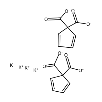 O=C([O-])C1(C(=O)[O-])C=CC=C1.O=C([O-])C1(C(=O)[O-])C=CC=C1.[K+].[K+].[K+].[K+]